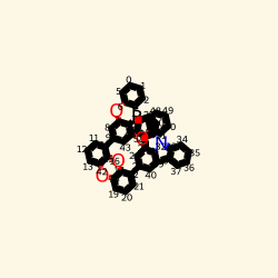 c1ccc2c(c1)Oc1cc(-c3cccc4c3Oc3c(cccc3-c3cc5c6ccccc6n6c7ccccc7c(c3)c56)O4)cc3c1B2c1ccccc1O3